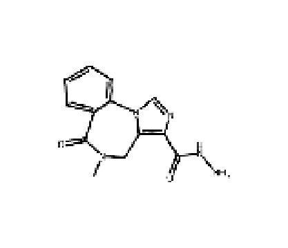 CN1Cc2c(C(=O)NN)ncn2-c2ccccc2C1=O